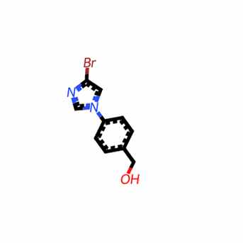 OCc1ccc(-n2cnc(Br)c2)cc1